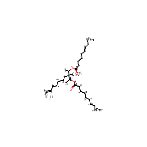 CCCCCCCCCCCCCCCCCC(=O)OC(C)C(CCCCCCCC(=O)O)(C(=O)O)C(C)OC(=O)CCCCCCCCCCCCCCCCC